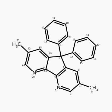 Cc1cnc2c(c1)C(c1ccccc1)(c1ccccc1)c1cc(C)cnc1-2